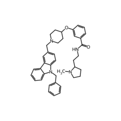 CN1CCCC1CCNC(=O)c1cccc(OC2CCN(Cc3ccc4c(c3)c3ccccc3n4Cc3ccccc3)CC2)c1